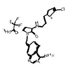 Nc1ncnc2cc(CN3CCC(NC/C=C/c4ccc(Cl)s4)C3=O)ccc12.O=C(O)C(F)(F)F